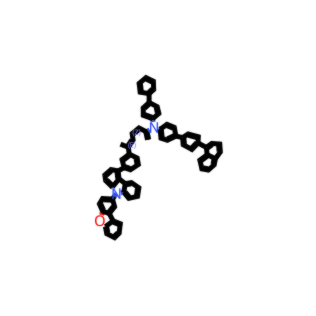 C=C(/C=C\C=C(/C)c1cccc(-c2cccc3c2c2ccccc2n3-c2ccc3oc4ccccc4c3c2)c1)N(c1ccc(-c2ccccc2)cc1)c1ccc(-c2ccc(-c3cccc4ccccc34)cc2)cc1